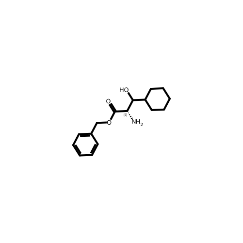 N[C@H](C(=O)OCc1ccccc1)C(O)C1CCCCC1